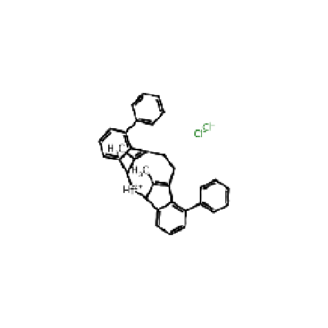 CC1=C2CCC3=C(C)[CH]([Hf+2][CH]1c1cccc(-c4ccccc4)c12)c1cccc(-c2ccccc2)c13.[Cl-].[Cl-]